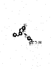 CCOC(Cc1ccc(OCCOC2c3ccc(CC)cc3C=Cc3cc(Cc4ccccc4)ccc32)cc1)C(=O)O